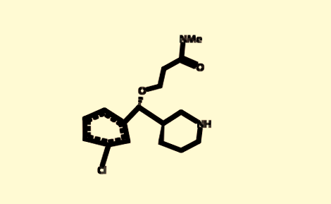 CNC(=O)CCO[C@@H](c1cccc(Cl)c1)[C@@H]1CCCNC1